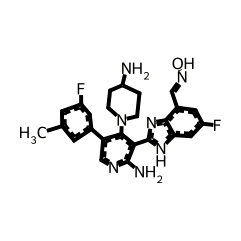 Cc1cc(F)cc(-c2cnc(N)c(-c3nc4c(C=NO)cc(F)cc4[nH]3)c2N2CCC(N)CC2)c1